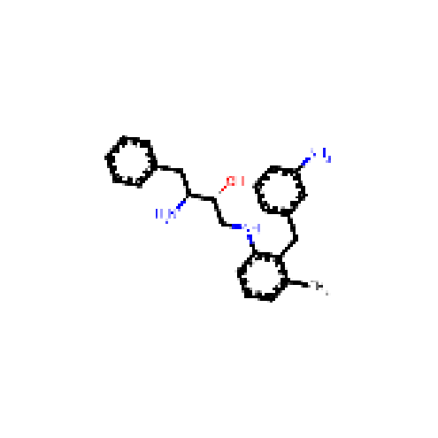 Cc1cccc(NC[C@@H](O)[C@@H](N)Cc2ccccc2)c1Cc1cccc(N)c1